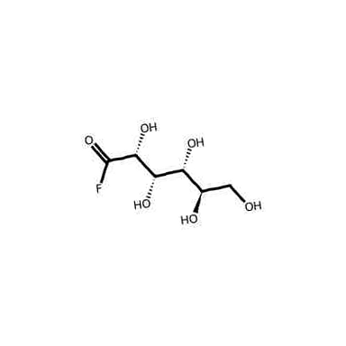 O=C(F)[C@H](O)[C@@H](O)[C@H](O)[C@H](O)CO